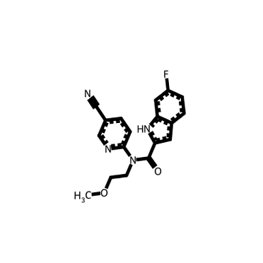 COCCN(C(=O)c1cc2ccc(F)cc2[nH]1)c1ccc(C#N)cn1